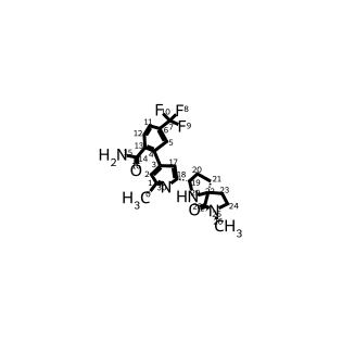 Cc1cc(-c2cc(C(F)(F)F)ccc2C(N)=O)cc([C@@H]2CC[C@@]3(CCN(C)C3=O)N2)n1